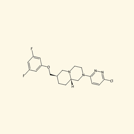 Fc1cc(F)cc(OC[C@@H]2CC[C@H]3CN(c4ccc(Cl)nn4)CCN3C2)c1